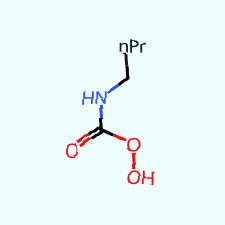 CCCCNC(=O)OO